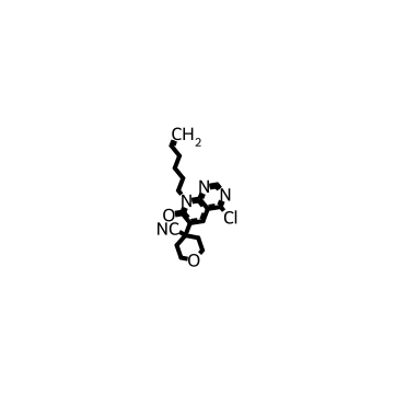 C=CCCCCn1c(=O)c(C2(C#N)CCOCC2)cc2c(Cl)ncnc21